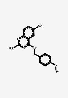 Cc1nc(NCc2ccc(OC(C)C)cc2)c2cc([N+](=O)[O-])ccc2n1